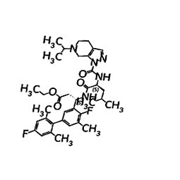 CCOC(=O)C[C@H](NC(=O)[C@H](CC(C)C)NC(=O)n1ncc2c1CN(C(C)C)CC2)c1cc(-c2c(C)cc(F)cc2C)cc(C)c1F